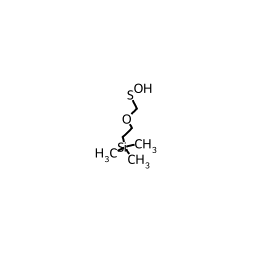 C[Si](C)(C)CCOCSO